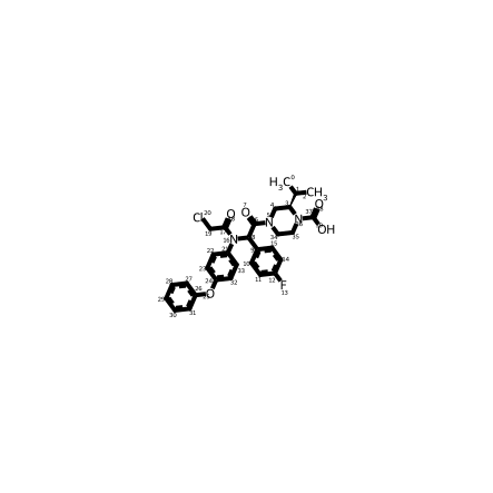 CC(C)[C@@H]1CN(C(=O)C(c2ccc(F)cc2)N(C(=O)CCl)c2ccc(Oc3ccccc3)cc2)CCN1C(=O)O